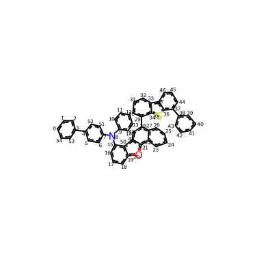 c1ccc(-c2ccc(N(c3ccccc3)c3cccc4oc5c6ccccc6c(-c6cccc7c6sc6c(-c8ccccc8)cccc67)cc5c34)cc2)cc1